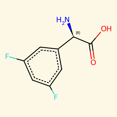 N[C@@H](C(=O)O)c1cc(F)cc(F)c1